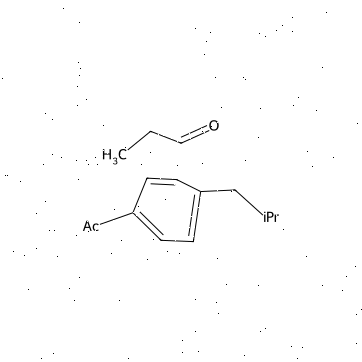 CC(=O)c1ccc(CC(C)C)cc1.CCC=O